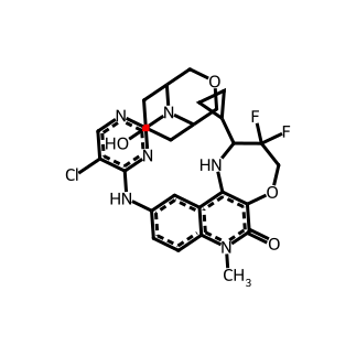 Cn1c(=O)c2c(c3cc(Nc4nc(N5C6COCC5CC(O)C6)ncc4Cl)ccc31)NC(C1CC1)C(F)(F)CO2